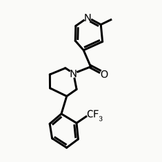 Cc1cc(C(=O)N2CCCC(c3ccccc3C(F)(F)F)C2)ccn1